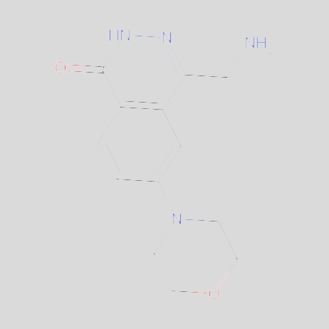 NCc1n[nH]c(=O)c2ccc(N3CCOCC3)cc12